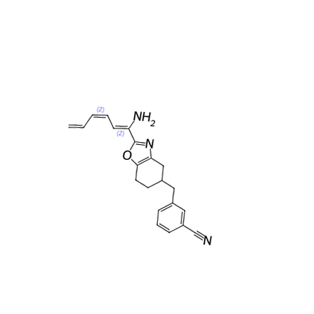 C=C/C=C\C=C(/N)c1nc2c(o1)CCC(Cc1cccc(C#N)c1)C2